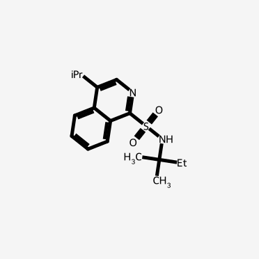 CCC(C)(C)NS(=O)(=O)c1ncc(C(C)C)c2ccccc12